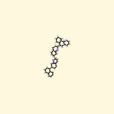 c1ccc2c(-c3ccc4ccc(-c5ccc6ccc(-c7cc8cccnc8c8ccccc78)nc6c5)nc4c3)cccc2c1